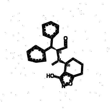 CN([C@H]1CCCc2onc(O)c21)[C@@H](C=O)C(c1ccccc1)c1ccccc1